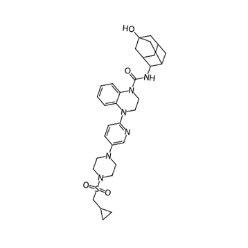 O=C(NC1C2CC3CC1CC(O)(C3)C2)N1CCN(c2ccc(N3CCN(S(=O)(=O)CC4CC4)CC3)cn2)c2ccccc21